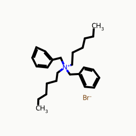 CCCCCC[N+](CCCCCC)(Cc1ccccc1)Cc1ccccc1.[Br-]